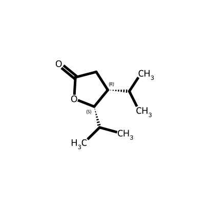 CC(C)[C@H]1CC(=O)O[C@H]1C(C)C